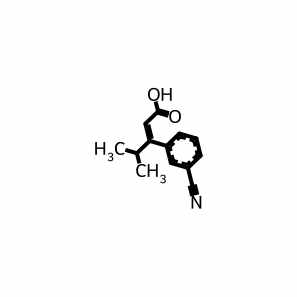 CC(C)/C(=C/C(=O)O)c1cccc(C#N)c1